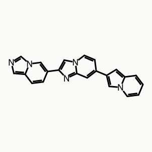 c1ccn2cc(-c3ccn4cc(-c5ccc6cncn6c5)nc4c3)cc2c1